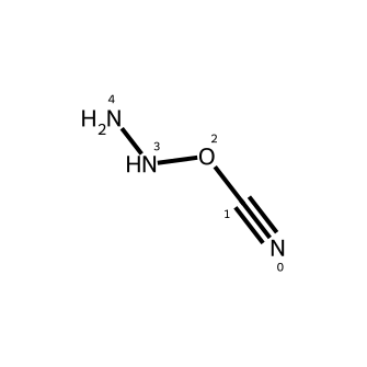 N#CONN